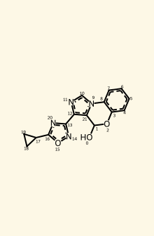 OC1Oc2ccccc2-n2cnc(-c3noc(C4CC4)n3)c21